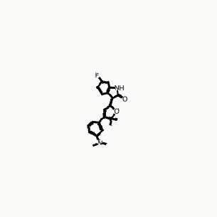 CN(C)c1cccc(C2=CC(=C3C(=O)Nc4cc(F)ccc43)OC2(C)C)c1